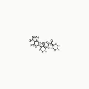 CNC(=O)c1ncc(N2CCCC3=C2NCC(C(=O)N2CCCCC2)=C3)cc1F